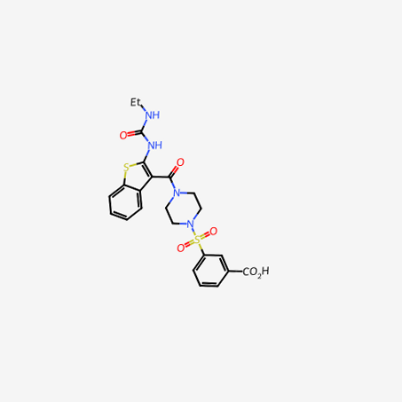 CCNC(=O)Nc1sc2ccccc2c1C(=O)N1CCN(S(=O)(=O)c2cccc(C(=O)O)c2)CC1